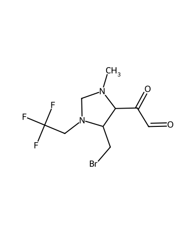 CN1CN(CC(F)(F)F)C(CBr)C1C(=O)C=O